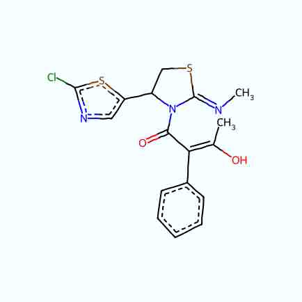 C/N=C1\SCC(c2cnc(Cl)s2)N1C(=O)/C(=C(\C)O)c1ccccc1